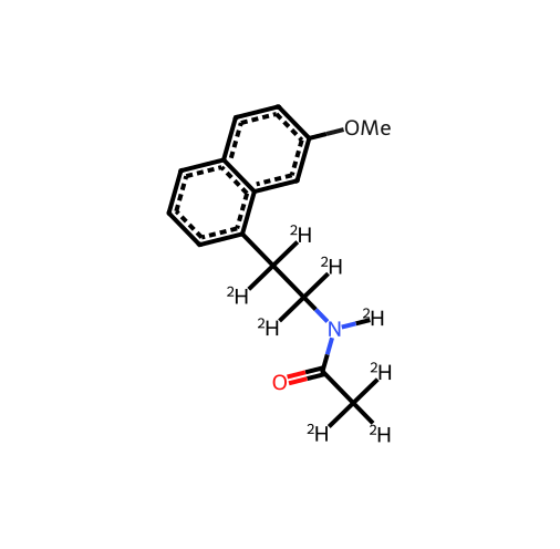 [2H]N(C(=O)C([2H])([2H])[2H])C([2H])([2H])C([2H])([2H])c1cccc2ccc(OC)cc12